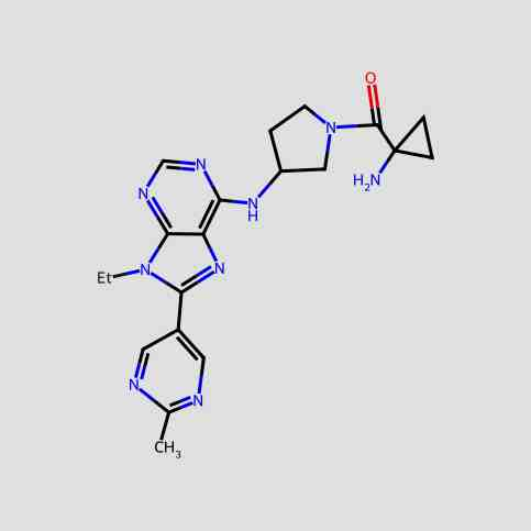 CCn1c(-c2cnc(C)nc2)nc2c(NC3CCN(C(=O)C4(N)CC4)C3)ncnc21